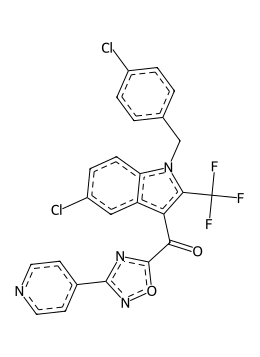 O=C(c1nc(-c2ccncc2)no1)c1c(C(F)(F)F)n(Cc2ccc(Cl)cc2)c2ccc(Cl)cc12